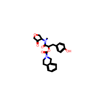 CN(C(=O)C(Cc1ccc(O)cc1)OC(=O)N1CCc2ccccc2C1)C1COCC1=O